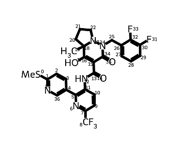 CSc1ccc(-c2nc(C(F)(F)F)ccc2NC(=O)C2=C(O)C3(C)CCCN3N(Cc3cccc(F)c3F)C2=O)cn1